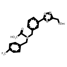 CCCCCCCCCCCc1noc(-c2cccc(CN(Cc3ccc(C(F)(F)F)cc3)C(=O)C(=O)O)c2)n1